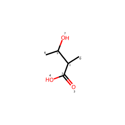 [CH2]C(C(=O)O)C(C)O